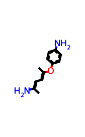 C/C(N)=C\C=C(/C)Oc1ccc(N)cc1